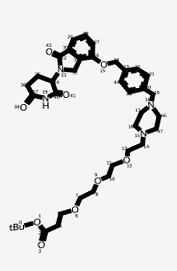 CC(C)(C)OC(=O)CCOCCOCCOCCN1CCN(Cc2ccc(COc3cccc4c3CN(C3CCC(=O)NC3=O)C4=O)cc2)CC1